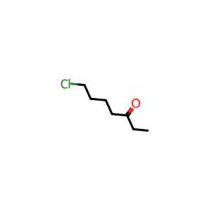 CCC(=O)CCCCCl